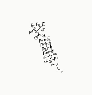 CCCCC(F)(F)C(F)(F)C(F)(F)C(F)(F)C(F)(F)C(F)(F)OC(=O)C(=C(F)F)C(F)(F)F